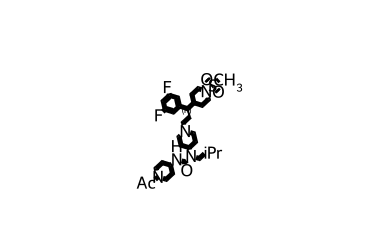 CC(=O)N1CCC(NC(=O)N(CC(C)C)C2CCN(CC[C@@H](c3cc(F)cc(F)c3)C3CCN(S(C)(=O)=O)CC3)CC2)CC1